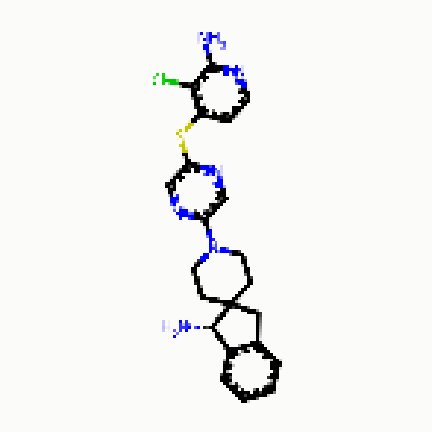 Nc1nccc(Sc2cnc(N3CCC4(CC3)Cc3ccccc3[C@@H]4N)cn2)c1Cl